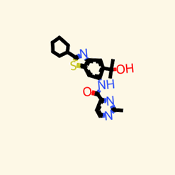 Cc1nccc(C(=O)Nc2cc3sc(C4CCCCC4)nc3cc2C(C)(C)O)n1